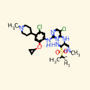 CN/C=C(/Nc1nc(Nc2cc(Cl)c(C3CCN(C)CC3)cc2OC2CC2)ncc1Cl)C(=N)S(=O)(=O)C(C)C